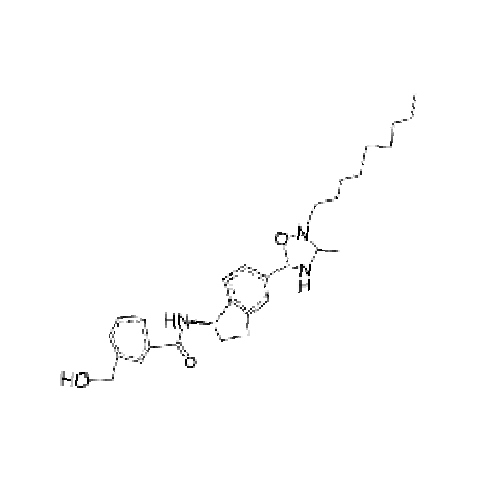 CCCCCCCCCN1OC(c2ccc3c(c2)CC[C@H]3NC(=O)c2cccc(CO)c2)NC1C